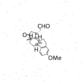 COc1ccc2c(c1)CC[C@H]1[C@@H]3[C@@H](CC=O)CC(=O)[C@@]3(C)CC[C@H]21